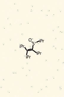 CC(C)C(=C(C(C)C)[S+]([O-])C(C)C)C(C)C